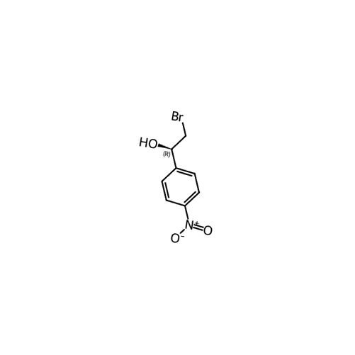 O=[N+]([O-])c1ccc([C@@H](O)CBr)cc1